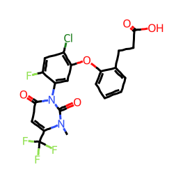 Cn1c(C(F)(F)F)cc(=O)n(-c2cc(Oc3ccccc3CCC(=O)O)c(Cl)cc2F)c1=O